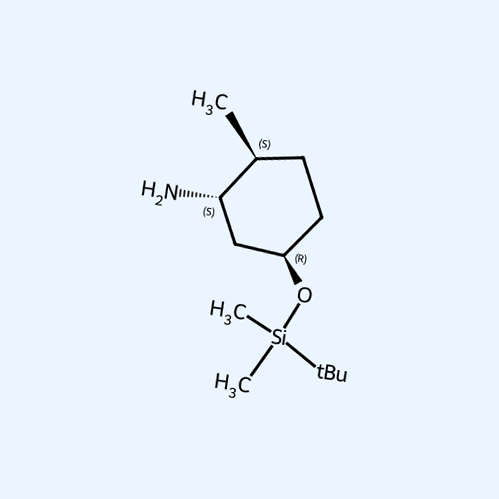 C[C@H]1CC[C@@H](O[Si](C)(C)C(C)(C)C)C[C@@H]1N